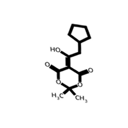 CC1(C)OC(=O)C(=C(O)CC2CCCC2)C(=O)O1